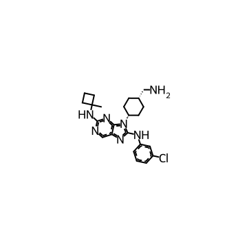 CC1(Nc2ncc3nc(Nc4cccc(Cl)c4)n([C@H]4CC[C@@H](CN)CC4)c3n2)CCC1